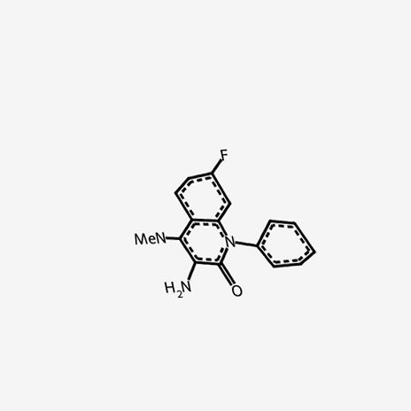 CNc1c(N)c(=O)n(-c2ccccc2)c2cc(F)ccc12